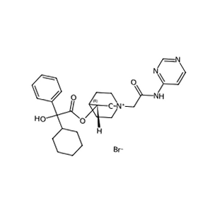 O=C(C[N+]12CCC(CC1)[C@@H](OC(=O)C(O)(c1ccccc1)C1CCCCC1)C2)Nc1ccncn1.[Br-]